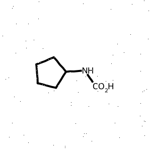 O=C(O)NC1CCCC1